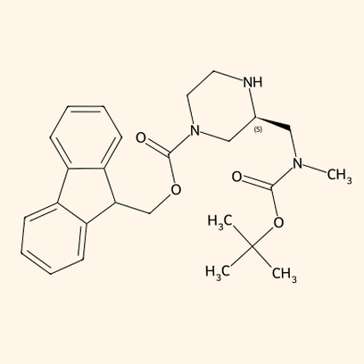 CN(C[C@H]1CN(C(=O)OCC2c3ccccc3-c3ccccc32)CCN1)C(=O)OC(C)(C)C